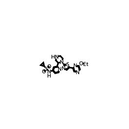 CCOc1cncc(-c2cnc(N3CCNCC3c3cc(NS(=O)(=O)C4CC4)ccn3)s2)n1